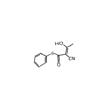 CC(O)=C(C#N)C(=O)Sc1ccccc1